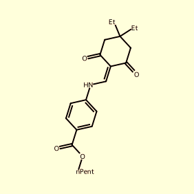 CCCCCOC(=O)c1ccc(NC=C2C(=O)CC(CC)(CC)CC2=O)cc1